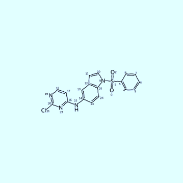 O=S(=O)(c1ccccc1)n1ccc2cc(Nc3ccnc(Cl)n3)ccc21